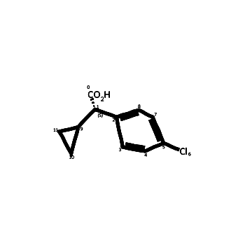 O=C(O)[C@H](c1ccc(Cl)cc1)C1CC1